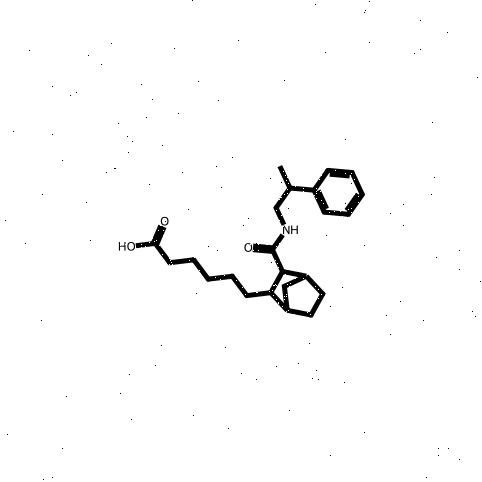 CC(CNC(=O)C1C2CCC(C2)C1CCCCCC(=O)O)c1ccccc1